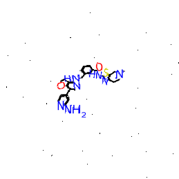 CN1CCc2nc(NC(=O)c3cccc(CNc4ncc(-c5ccnc(N)c5)c5c4CCO5)c3)sc2C1